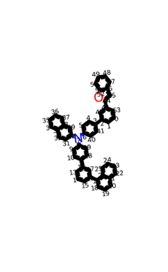 c1cc(-c2ccc(N(c3ccc(-c4cccc(-c5cccc6ccccc56)c4)cc3)c3ccc4ccccc4c3)cc2)cc(-c2cc3ccccc3o2)c1